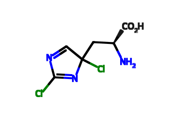 N[C@@H](CC1(Cl)C=NC(Cl)=N1)C(=O)O